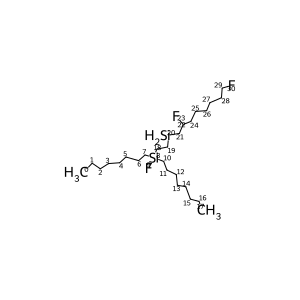 CCCCCCCC[Si](F)(CCCCCCCC)CC[SiH2]CC(F)CCCCCCF